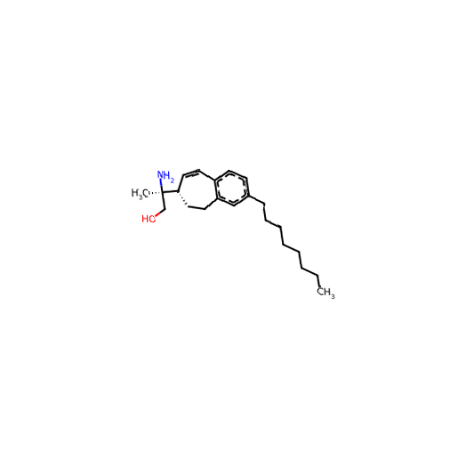 CCCCCCCCc1ccc2c(c1)CC[C@H]([C@](C)(N)CO)C=C2